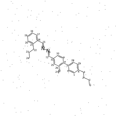 CCCCc1ccc(-c2ccc(C=NN=Cc3ccccc3CCC)cc2F)cc1